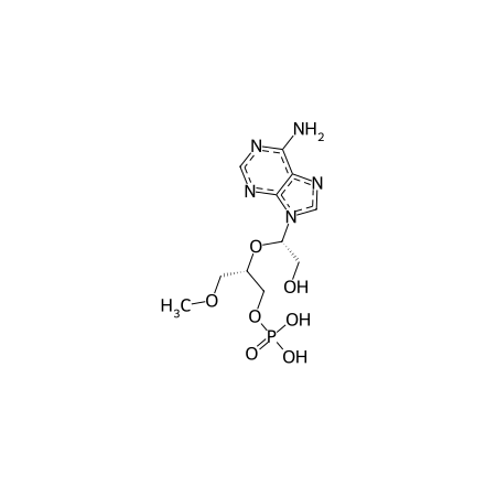 COC[C@@H](COP(=O)(O)O)O[C@@H](CO)n1cnc2c(N)ncnc21